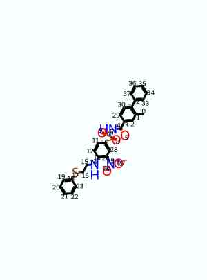 Cc1cc(C(=O)NS(=O)(=O)c2ccc(NCCSc3ccccc3)c([N+](=O)[O-])c2)ccc1-c1ccccc1